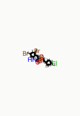 O=c1[nH]c2cc(Br)cc(Br)c2cc1S(=O)(=O)/C=C/c1ccc(Cl)cc1